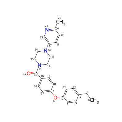 CCc1ccc(Oc2ccc(C(=O)N3CCN(c4ccc(C)nc4)CC3)cc2)cc1